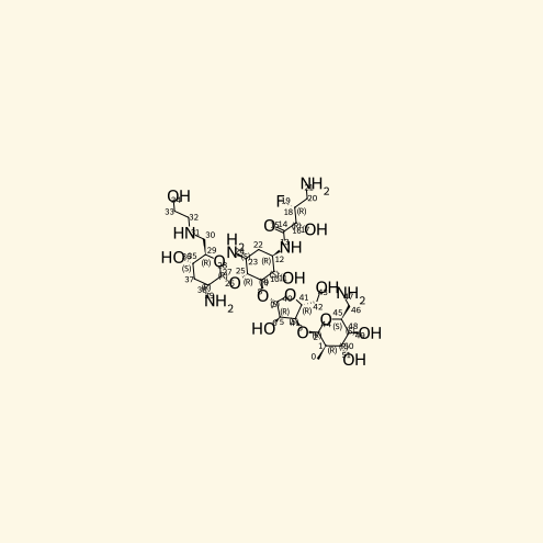 C[C@H]1[C@@H](O[C@H]2[C@@H](O)[C@H](O[C@@H]3[C@@H](O)[C@H](NC(=O)[C@@H](O)[C@H](F)CN)C[C@H](N)[C@H]3O[C@H]3O[C@H](CNCCO)[C@@H](O)C[C@H]3N)O[C@@H]2CO)O[C@@H](CN)[C@@H](O)[C@@H]1O